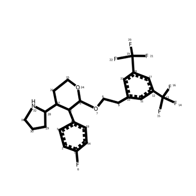 Fc1ccc(C2C(OCCc3cc(C(F)(F)F)cc(C(F)(F)F)c3)OCCC2C2CCCN2)cc1